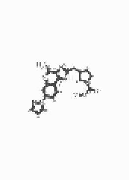 COC(=O)N1CCC(Cc2nc3c(N)nc4cc(-n5cccn5)ccc4c3[nH]2)C1